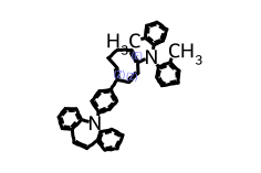 Cc1ccccc1N(C1=C/CC/C=C(c2ccc(N3c4ccccc4C=Cc4ccccc43)cc2)/C=C\1)c1ccccc1C